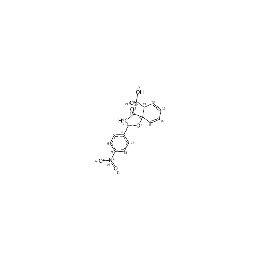 CC(=O)C1(OCc2ccc([N+](=O)[O-])cc2)C=CC=CC1C(=O)O